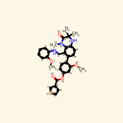 COc1ccccc1NCc1c(-c2ccc(OC(=O)c3ccsc3)cc2OC)ccc2c1N(C)C(=O)C(C)(C)N2